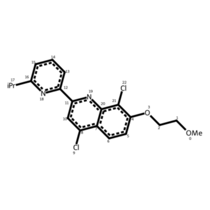 COCCOc1ccc2c(Cl)cc(-c3cccc(C(C)C)n3)nc2c1Cl